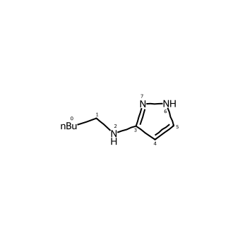 CCCCCNc1cc[nH]n1